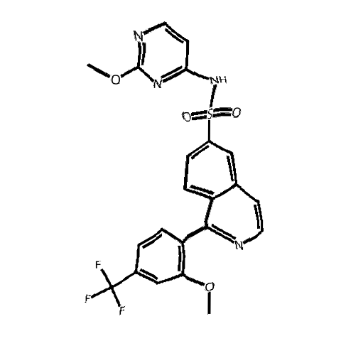 COc1nccc(NS(=O)(=O)c2ccc3c(-c4ccc(C(F)(F)F)cc4OC)nccc3c2)n1